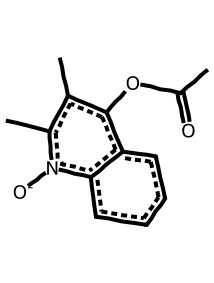 CC(=O)Oc1c(C)c(C)[n+]([O-])c2ccccc12